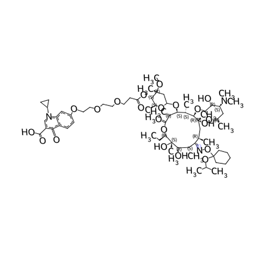 CC[C@H]1OC(=O)[C@H](C)[C@@H](OC2C[C@@](C)(OC)[C@@H](OC(=O)CCOCCOCCOc3ccc4c(=O)c(C(=O)O)cn(C5CC5)c4c3)[C@H](C)O2)[C@H](C)[C@@H](OC2O[C@H](C)C[C@H](N(C)C)[C@H]2O)[C@](C)(O)C[C@@H](C)/C(=N\OC2(OC(C)C)CCCCC2)[C@H](C)[C@@H](O)[C@]1(C)O